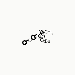 Cc1cnc([C@H](Cc2ccc(OCc3ccccc3)cc2)NC(=O)OC(C)(C)C)o1